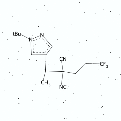 [C-]#[N+]C(C#N)(CCC(F)(F)F)C(C)c1cnn(C(C)(C)C)c1